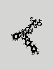 O=C1NC(=O)C(Cc2nnc(C(c3nc4ccc(-c5ccc(F)cc5)cc4s3)S(=O)(=O)Cc3ccccc3)o2)S1